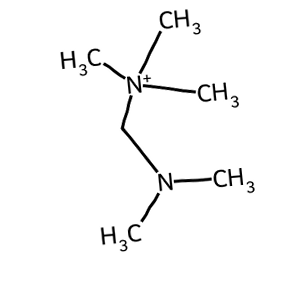 CN(C)C[N+](C)(C)C